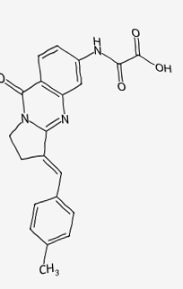 Cc1ccc(C=C2CCn3c2nc2cc(NC(=O)C(=O)O)ccc2c3=O)cc1